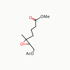 COC(=O)CCCC1(C)OC1COC(C)=O